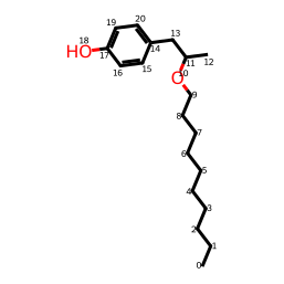 CCCCCCCCCCOC(C)Cc1ccc(O)cc1